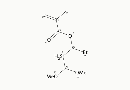 C=C(C)C(=O)OC(CC)[SiH2]C(OC)OC